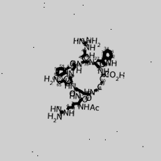 CC(=O)N[C@@H](CCCNC(=N)N)C(=O)N[C@H]1CC(=O)NCCCC[C@@H](C(=O)O)NC(=O)[C@H](Cc2c[nH]c3ccccc23)NC(=O)[C@H](CCCNC(=N)N)NC(=O)[C@@H](Cc2ccccc2)NC(=O)[C@H](CCCN)NC1=O